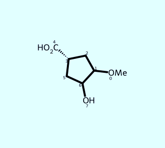 COC1C[C@@H](C(=O)O)CC1O